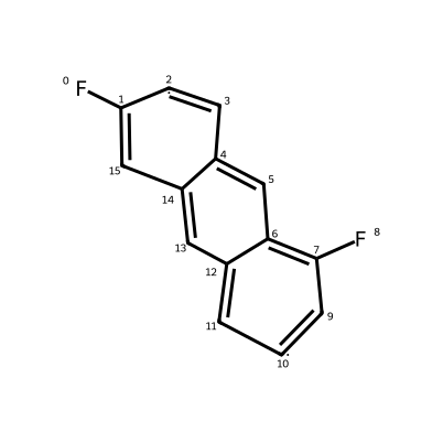 Fc1[c]cc2cc3c(F)c[c]cc3cc2c1